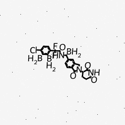 Bc1c(Cl)ccc(C(F)(F)C(=O)NC(B)c2ccc3c(c2)CN(C2CCC(=O)NC2=O)C3=O)c1B